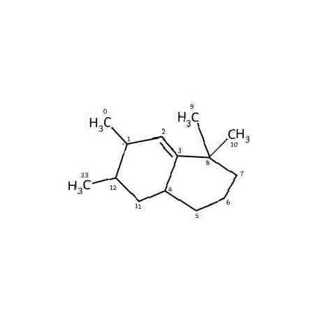 C[C]1C=C2C(CCCC2(C)C)CC1C